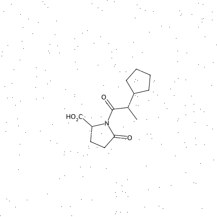 CC(C(=O)N1C(=O)CCC1C(=O)O)C1CCCC1